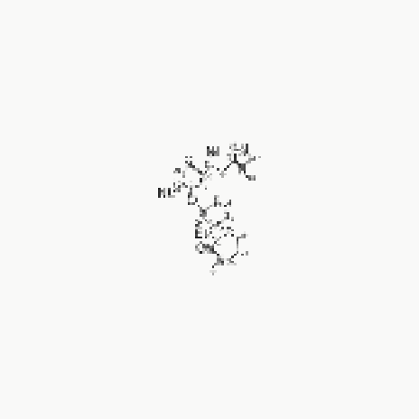 CCC1(c2cccc(Oc3cc(C(N)Cc4cncn4C)ccc3C#N)c2)CCCCN(C)C1=O